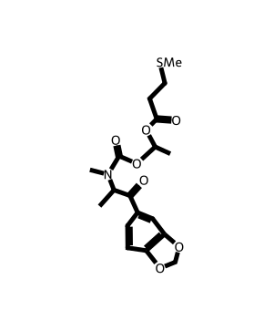 CSCCC(=O)OC(C)OC(=O)N(C)C(C)C(=O)c1ccc2c(c1)OCO2